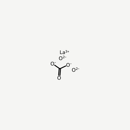 O=C([O-])[O-].[La+3].[O-2].[O-2]